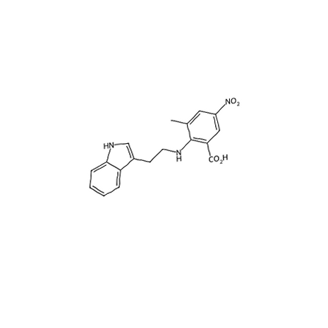 Cc1cc([N+](=O)[O-])cc(C(=O)O)c1NCCc1c[nH]c2ccccc12